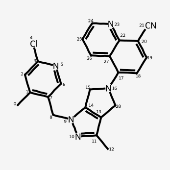 Cc1cc(Cl)ncc1Cn1nc(C)c2c1CN(c1ccc(C#N)c3ncccc13)C2